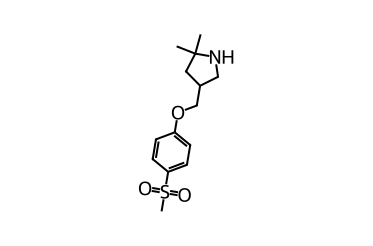 CC1(C)CC(COc2ccc(S(C)(=O)=O)cc2)CN1